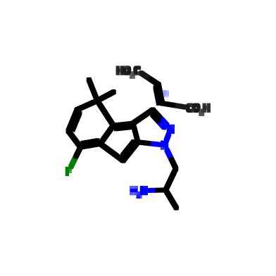 CC(N)Cn1ncc2c1=CC1=C(F)C=CC(C)(C)C=21.O=C(O)/C=C/C(=O)O